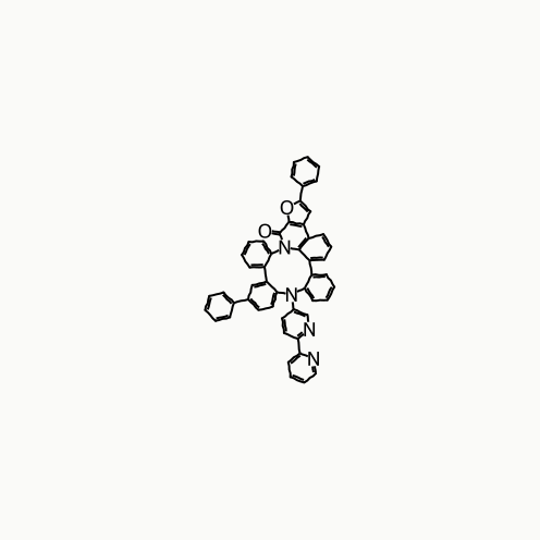 O=c1c2oc(-c3ccccc3)cc2c2cccc3c2n1-c1ccccc1-c1cc(-c2ccccc2)ccc1N(c1ccc(-c2ccccn2)nc1)c1ccccc1-3